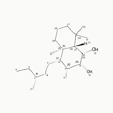 CC[C@@H](C)CC[C@H]1[C@@H](C)[C@@H](O)[C@@H](O)[C@H]2C(C)(C)CCC[C@]12C